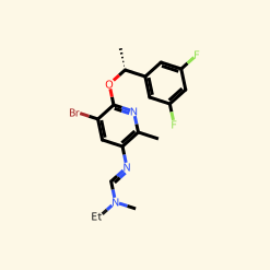 CCN(C)C=Nc1cc(Br)c(O[C@H](C)c2cc(F)cc(F)c2)nc1C